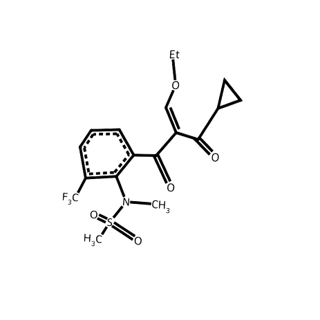 CCOC=C(C(=O)c1cccc(C(F)(F)F)c1N(C)S(C)(=O)=O)C(=O)C1CC1